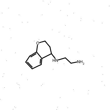 NCCNC1CCOc2ccccc21